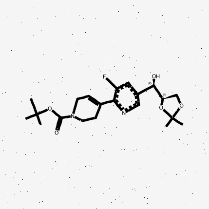 CC(C)(C)OC(=O)N1CC=C(c2ncc([C@@H](O)[C@H]3COC(C)(C)O3)cc2F)CC1